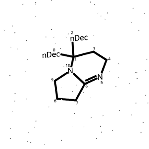 CCCCCCCCCCC1(CCCCCCCCCC)CCN=C2CCCN21